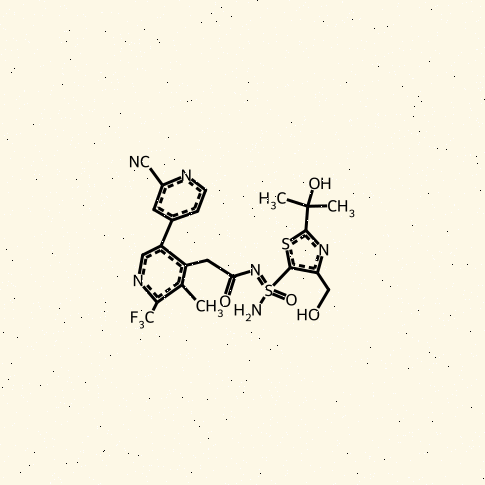 Cc1c(C(F)(F)F)ncc(-c2ccnc(C#N)c2)c1CC(=O)N=S(N)(=O)c1sc(C(C)(C)O)nc1CO